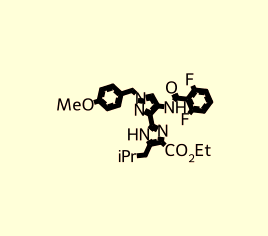 CCOC(=O)c1nc(-c2nn(Cc3ccc(OC)cc3)cc2NC(=O)c2c(F)cccc2F)[nH]c1CC(C)C